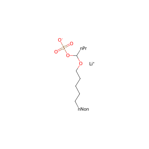 CCCCCCCCCCCCCCOC(CCC)OS(=O)(=O)[O-].[Li+]